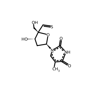 Cc1cn([C@H]2C[C@H](O)[C@@](C=S)(CO)O2)c(=O)[nH]c1=O